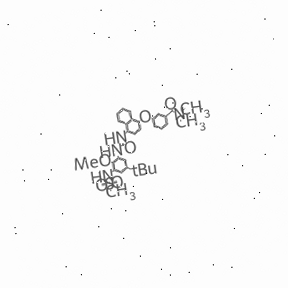 COc1c(NC(=O)Nc2ccc(Oc3cccc(C(=O)N(C)C)c3)c3ccccc23)cc(C(C)(C)C)cc1NS(C)(=O)=O